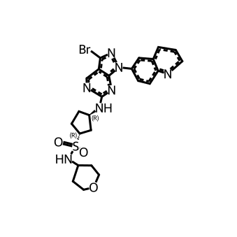 O=S(=O)(NC1CCOCC1)[C@@H]1CC[C@@H](Nc2ncc3c(Br)nn(-c4ccc5ncccc5c4)c3n2)C1